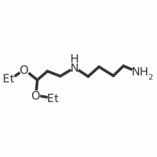 CCOC(CCNCCCCN)OCC